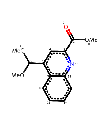 COC(=O)c1cc(C(OC)OC)c2ccccc2n1